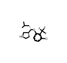 CC(C)C[C@H](Oc1cccc(Cl)c1C(F)(F)F)[C@H]1CCNC1